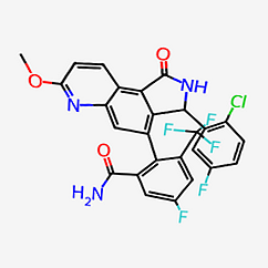 COc1ccc2c3c(c(-c4c(C(N)=O)cc(F)cc4C(F)(F)F)cc2n1)C(c1cc(F)ccc1Cl)NC3=O